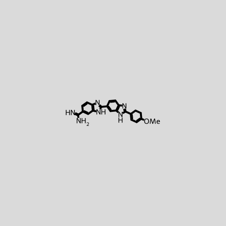 COC1=CC=C(c2nc3ccc(-c4nc5ccc(C(=N)N)cc5[nH]4)cc3[nH]2)CC1